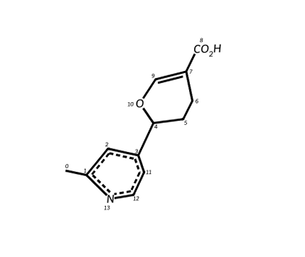 Cc1cc(C2CCC(C(=O)O)=CO2)ccn1